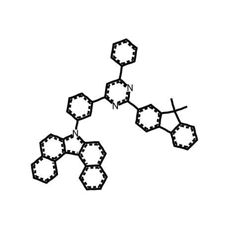 CC1(C)c2ccccc2-c2ccc(-c3nc(-c4ccccc4)cc(-c4cccc(-n5c6ccc7ccccc7c6c6c7ccccc7ccc65)c4)n3)cc21